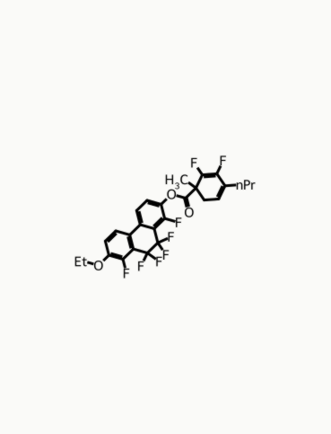 CCCC1=CCC(C)(C(=O)Oc2ccc3c(c2F)C(F)(F)C(F)(F)c2c-3ccc(OCC)c2F)C(F)=C1F